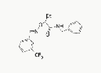 CCC(ON=Cc1cccc(C(F)(F)F)c1)C(=O)NCc1ccccc1